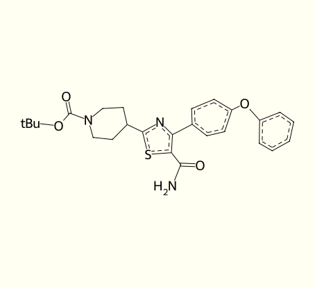 CC(C)(C)OC(=O)N1CCC(c2nc(-c3ccc(Oc4ccccc4)cc3)c(C(N)=O)s2)CC1